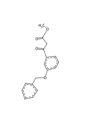 COC(=O)CC(=O)c1cccc(OCc2ccccc2)c1